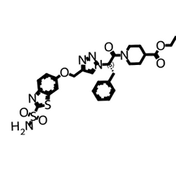 CCOC(=O)C1CCN(C(=O)[C@H](Cc2ccccc2)n2cc(COc3ccc4nc(S(N)(=O)=O)sc4c3)nn2)CC1